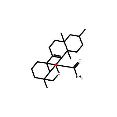 CC1CCC2(C)C3=C(CCC2(C)C1)C12CCCC(C)(COC1)C2CC3C(N)=O